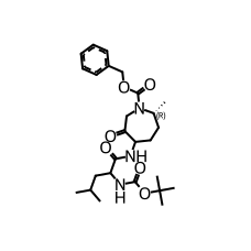 CC(C)CC(NC(=O)OC(C)(C)C)C(=O)NC1CC[C@@H](C)N(C(=O)OCc2ccccc2)CC1=O